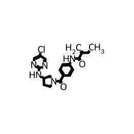 C=C(CC)C(=O)Nc1ccc(C(=O)N2CCC(Nc3ncc(Cl)cn3)C2)cc1